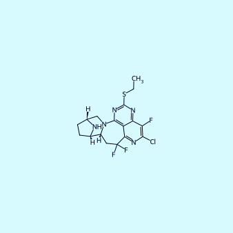 CCSc1nc2c3c(nc(Cl)c(F)c3n1)C(F)(F)C[C@@H]1[C@@H]3CC[C@H](CN21)N3